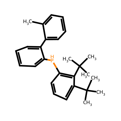 Cc1ccccc1-c1ccccc1Pc1cccc(C(C)(C)C)c1C(C)(C)C